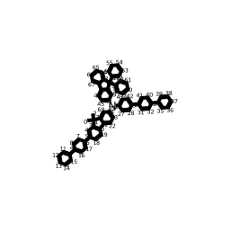 CC1(C)c2cc(-c3ccc(-c4ccccc4)cc3)ccc2-c2ccc(N(c3ccc(-c4ccc(-c5ccccc5)cc4)cc3)c3ccc4c(c3)C(c3ccccc3)(c3ccccc3)c3ccccc3-4)cc21